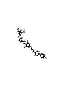 O=C(Cc1c(F)cc(OCCCC2CCN(c3ncc(Cl)cn3)CC2)cc1F)N1CC[C@@H](CNCC(CO)(CO)CO)C1